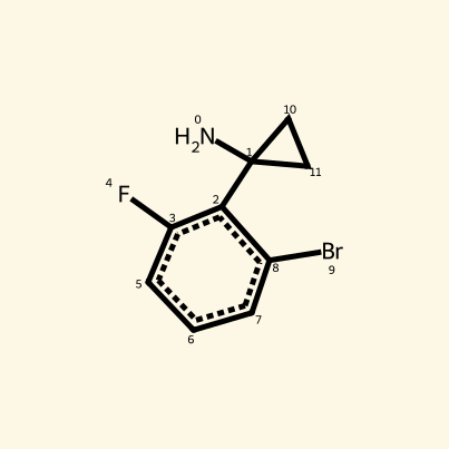 NC1(c2c(F)cccc2Br)CC1